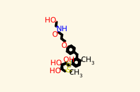 Cc1ccc([C@H]2[C@H](O)[C@H](O)[C@H](O)C[SH]2C)cc1Cc1ccc(OCCCC(=O)NCCO)cc1